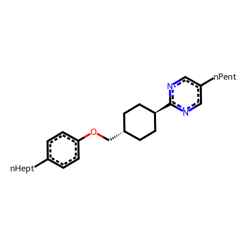 CCCCCCCc1ccc(OC[C@H]2CC[C@H](c3ncc(CCCCC)cn3)CC2)cc1